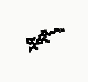 CCOC(=O)CCCn1nnc(/C=C2/CN(C(C(=O)C3CC3)c3ccccc3F)CCC2SC(C)=O)n1